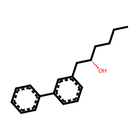 CCCC[C@H](O)Cc1cccc(-c2ccccc2)c1